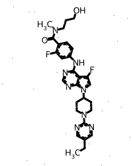 CCc1cnc(N2CCC(n3cc(F)c4c(Nc5ccc(C(=O)N(C)CCCO)c(F)c5)ncnc43)CC2)nc1